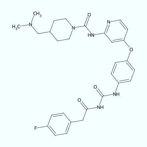 CN(C)CC1CCN(C(=O)Nc2cc(Oc3ccc(NC(=O)NC(=O)Cc4ccc(F)cc4)cc3)ccn2)CC1